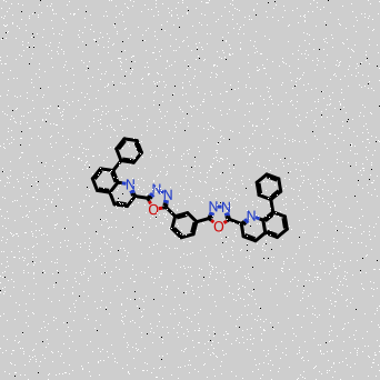 c1ccc(-c2cccc3ccc(-c4nnc(-c5cccc(-c6nnc(-c7ccc8cccc(-c9ccccc9)c8n7)o6)c5)o4)nc23)cc1